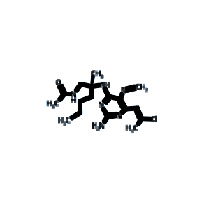 C=Nc1c(/C=C(\C)Cl)nc(N)nc1N[C@](C)(CCCC)CNC(C)=O